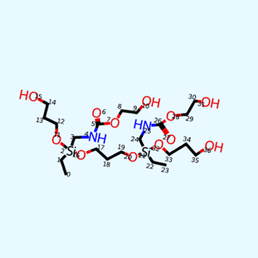 CC[Si](CNC(=O)OCCO)(OCCCO)OCCCO[Si](CC)(CNC(=O)OCCO)OCCCO